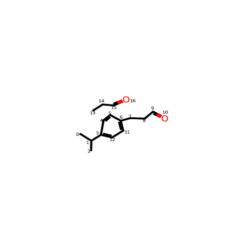 CC(C)c1ccc(CCC=O)cc1.CCC=O